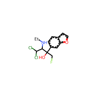 CCNC(C(Cl)Cl)C(O)(CF)c1ccc2ccoc2c1